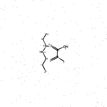 C=C(C)C(=O)O.CCCNNCC